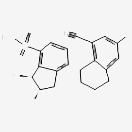 CS(=O)(=O)c1ccc([C@H]2CCCc3cc(F)cc(C#N)c32)c2c1[C@H](O)[C@H](F)C2